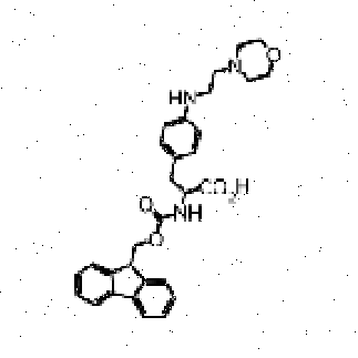 O=C(NC(Cc1ccc(NCCN2CCOCC2)cc1)C(=O)O)OCC1c2ccccc2-c2ccccc21